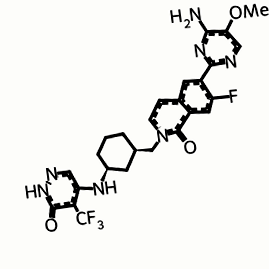 COc1cnc(-c2cc3ccn(C[C@@H]4CCC[C@H](Nc5cn[nH]c(=O)c5C(F)(F)F)C4)c(=O)c3cc2F)nc1N